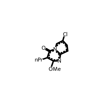 CCCc1c(OC)nc2ccc(Cl)cn2c1=O